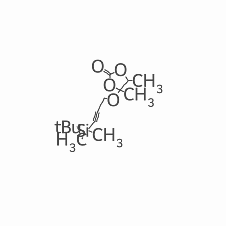 CC1OC(=O)OC1(C)OCC#C[Si](C)(C)C(C)(C)C